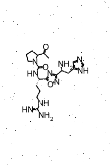 CC(=O)C1CCCN1C(=O)N[C@@H](CCCNC(=N)N)c1nc([C@@H](N)Cc2cnc[nH]2)no1